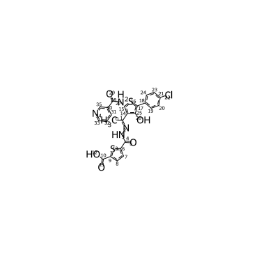 CC(=NNC(=O)c1ccc(C(=O)O)s1)c1csc(-c2ccc(Cl)cc2)c1O.NC(=O)c1cccnc1